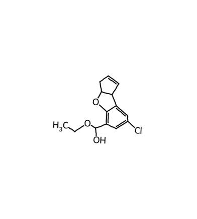 CCOC(O)c1cc(Cl)cc2c1OC1CC=CC21